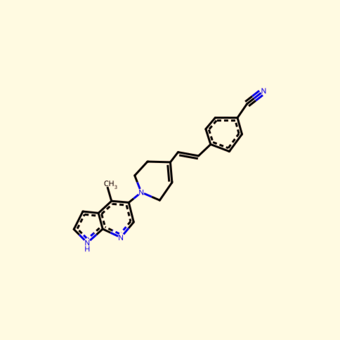 Cc1c(N2CC=C(C=Cc3ccc(C#N)cc3)CC2)cnc2[nH]ccc12